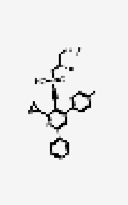 O=C(O)C[C@H](O)CP(=O)(O)C#Cc1c(-c2ccc(F)cc2)cc(-c2ccccc2)nc1C1CC1